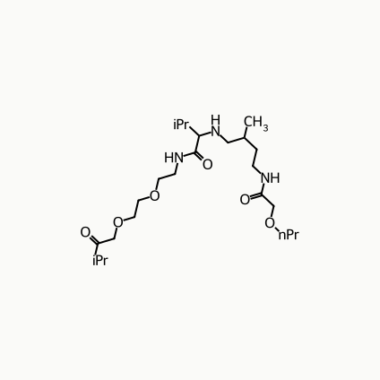 CCCOCC(=O)NCCC(C)CNC(C(=O)NCCOCCOCC(=O)C(C)C)C(C)C